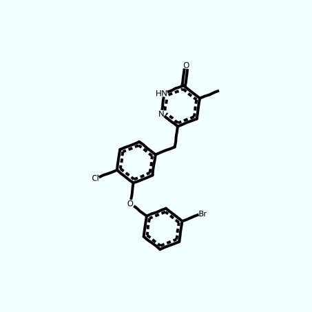 Cc1cc(Cc2ccc(Cl)c(Oc3cccc(Br)c3)c2)n[nH]c1=O